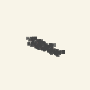 COc1ccc(NC(=O)C(CCCNC(=N)N)NC(=O)c2cc(NC(=O)C(CCCNC=N)NC(=O)c3cc(NC(=O)C(CCCNC(=N)N)NC(=O)c4cc(NC(=O)C(N)CCCNC(=N)N)ccc4OC)ccc3OC)ccc2OC)cc1C(=O)NCC(=O)O